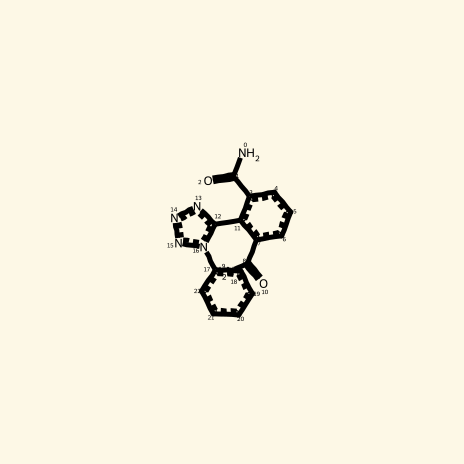 NC(=O)c1cccc(C(N)=O)c1-c1nnnn1-c1ccccc1